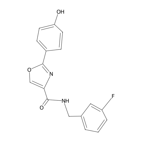 O=C(NCc1cccc(F)c1)c1coc(-c2ccc(O)cc2)n1